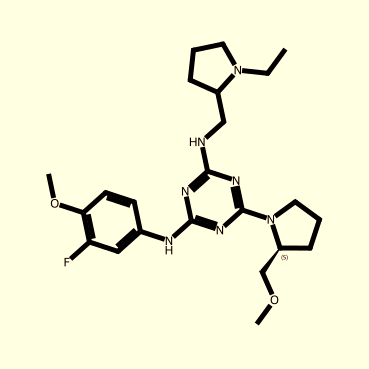 CCN1CCCC1CNc1nc(Nc2ccc(OC)c(F)c2)nc(N2CCC[C@H]2COC)n1